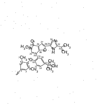 Cc1cc(F)cc(C)c1Oc1ccc(C(C)(C)O)cc1-c1cn(C)c(=O)c2cc(-c3cnc(C(C)C)[nH]3)oc12